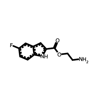 NCCOC(=O)c1cc2cc(F)ccc2[nH]1